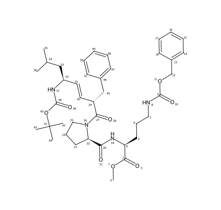 COC(=O)[C@H](CCCNC(=O)OCc1ccccc1)NC(=O)[C@H]1CCCN1C(=O)[C@H](/C=C/[C@H](CC(C)C)NC(=O)OC(C)(C)C)Cc1ccccc1